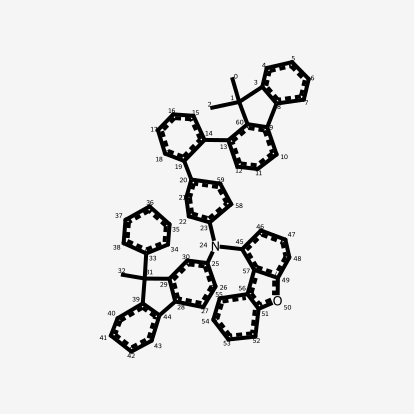 CC1(C)c2ccccc2-c2cccc(-c3ccccc3-c3ccc(N(c4ccc5c(c4)C(C)(c4ccccc4)c4ccccc4-5)c4cccc5oc6ccccc6c45)cc3)c21